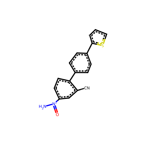 N#Cc1cc([N+](N)=O)ccc1-c1ccc(-c2[c]ccs2)cc1